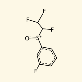 [O-][S+](c1cccc(F)c1)C(F)C(F)F